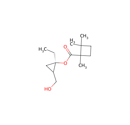 CC[C@@]1(OC(=O)C2(C)CCC2(C)C)CC1CO